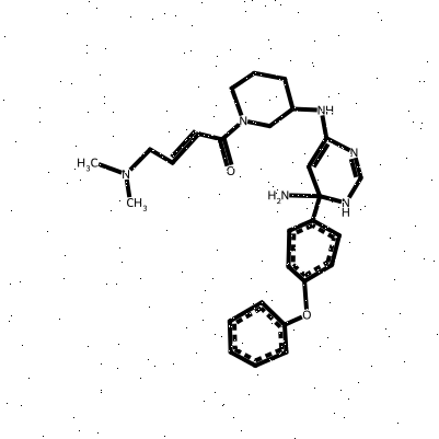 CN(C)CC=CC(=O)N1CCCC(NC2=CC(N)(c3ccc(Oc4ccccc4)cc3)NC=N2)C1